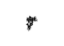 COc1ncnc(C2CC2)c1-c1nc(Cc2ccc(-c3nc(C(F)(F)F)cn3C3CC3)cc2)c2[nH]c(=O)c(=O)[nH]c2n1